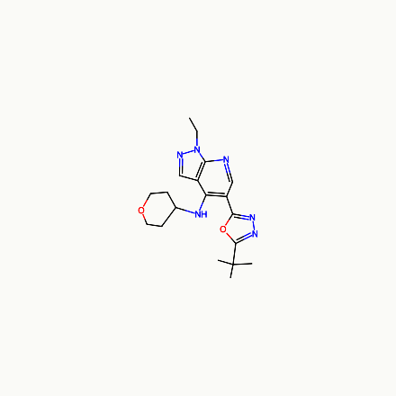 CCn1ncc2c(NC3CCOCC3)c(-c3nnc(C(C)(C)C)o3)cnc21